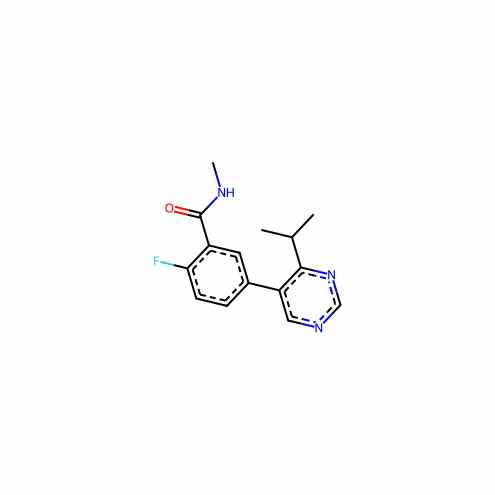 CNC(=O)c1cc(-c2cncnc2C(C)C)ccc1F